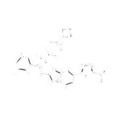 O=S(=O)(C1CCN(C2CCC2)CC1)N(Cc1cn2ccc(-c3nnc(C(F)F)o3)cc2n1)c1cccc(F)c1